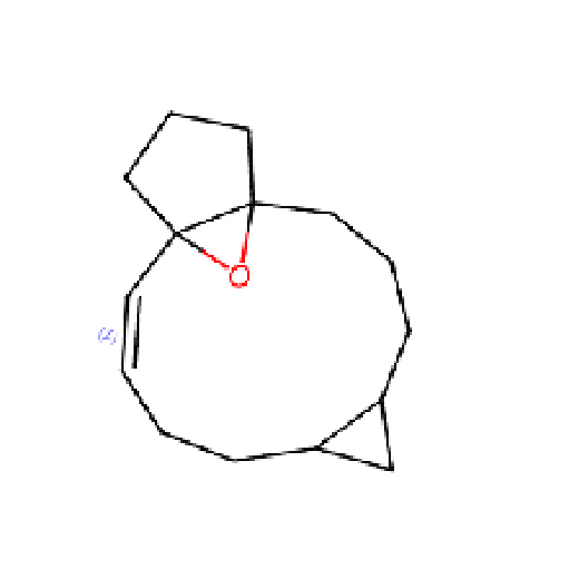 C1=C\C23CCCC2(CCCC2CC2CC/1)O3